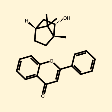 CC1(C)[C@@H]2CC[C@@]1(C)[C@@H](O)C2.O=c1cc(-c2ccccc2)oc2ccccc12